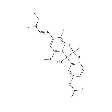 CCN(C)/C=N/c1cc(OC)c(C(O)(c2cccc(OC(F)F)c2)C(F)(F)F)cc1C